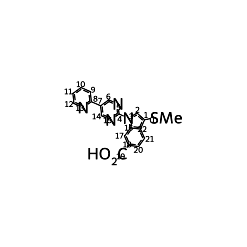 CSc1cn(-c2ncc(-c3ccccn3)cn2)c2cc(C(=O)O)ccc12